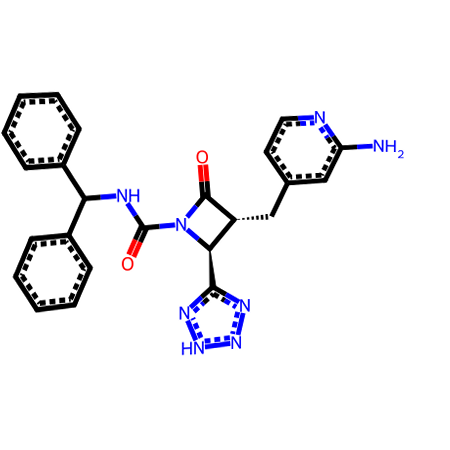 Nc1cc(C[C@H]2C(=O)N(C(=O)NC(c3ccccc3)c3ccccc3)[C@@H]2c2nn[nH]n2)ccn1